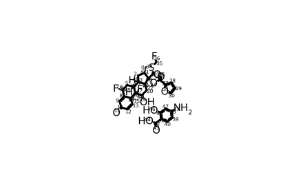 C[C@@H]1C[C@H]2[C@@H]3C[C@H](F)C4=CC(=O)C=C[C@]4(C)[C@@]3(F)[C@@H](O)C[C@]2(C)[C@@]1(OC(=O)c1ccco1)C(=O)SCF.Nc1ccc(C(=O)O)c(O)c1